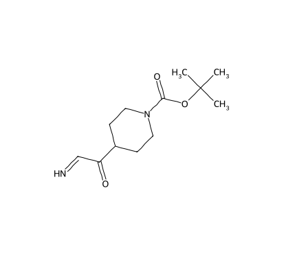 CC(C)(C)OC(=O)N1CCC(C(=O)C=N)CC1